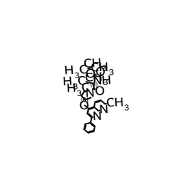 Cc1ccc2c(O[C@@H]3CCN(C(=O)[C@@H](NC(=O)OC(C)(C)C)C(C)(C)C)C3)cc(-c3ccccc3)nc2n1